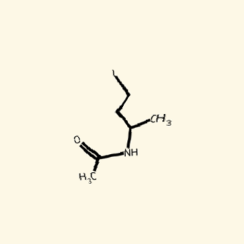 CC(=O)NC(C)CCI